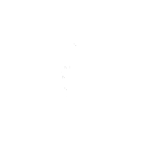 CCN1CCN(C(=S)N/C=C2/CNC3=C(CCC=C3)C2)CC1